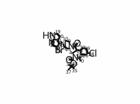 CC(C)N(CC(C(=O)N1CCN(c2c(Br)cnc3[nH]ccc23)CC1)c1ccc(Cl)cc1)C(=O)OC(C)(C)C